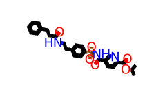 CC(C)OC(=O)c1ccc(C(=O)NS(=O)(=O)c2ccc(CCNC(=O)CCc3ccccc3)cc2)cn1